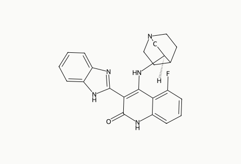 O=c1[nH]c2cccc(F)c2c(N[C@H]2CN3CCC2CC3)c1-c1nc2ccccc2[nH]1